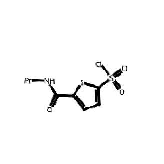 CC(C)NC(=O)c1ccc(S(=O)(=O)Cl)s1